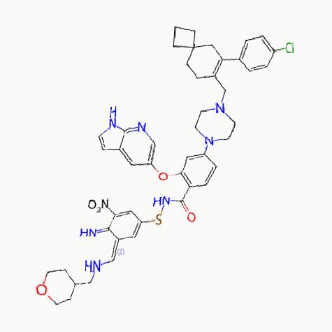 N=C1C([N+](=O)[O-])=CC(SNC(=O)c2ccc(N3CCN(CC4=C(c5ccc(Cl)cc5)CC5(CCC5)CC4)CC3)cc2Oc2cnc3[nH]ccc3c2)=C/C1=C/NCC1CCOCC1